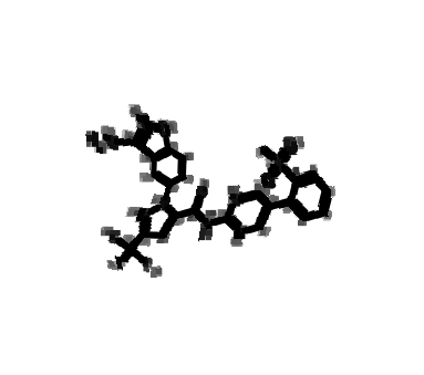 CS(=O)(=O)c1ccccc1-c1cnc(NC(=O)c2cc(C(F)(F)F)nn2-c2ccc3onc(N)c3c2)nc1